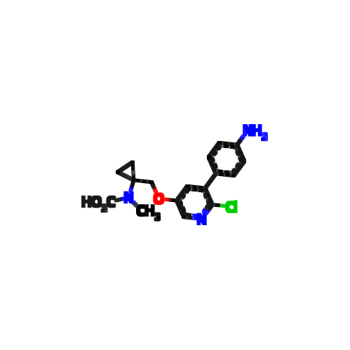 CN(C(=O)O)C1(COc2cnc(Cl)c(-c3ccc(N)cc3)c2)CC1